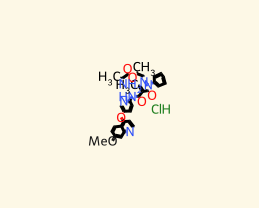 COc1ccc2c(Oc3ccc(NC(=O)c4c(C)n(C[C@@H](C)OC(=O)[C@H](C)N)n(-c5ccccc5)c4=O)nc3)ccnc2c1.Cl